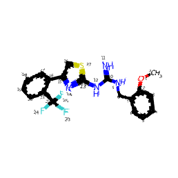 COc1ccccc1CNC(=N)Nc1nc(-c2ccccc2C(F)(F)F)cs1